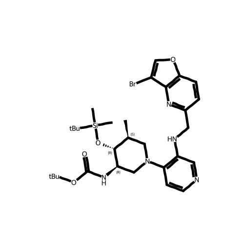 C[C@H]1CN(c2ccncc2NCc2ccc3occ(Br)c3n2)C[C@@H](NC(=O)OC(C)(C)C)[C@@H]1O[Si](C)(C)C(C)(C)C